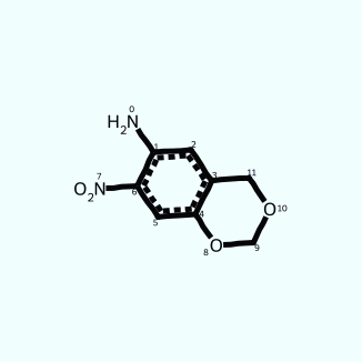 Nc1cc2c(cc1[N+](=O)[O-])OCOC2